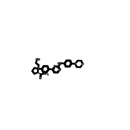 NC(=O)[C@@H]1CCC[N+]1(CCO)c1ccc(-c2ccnc(Nc3ccc(N4CCOCC4)cc3)n2)cc1